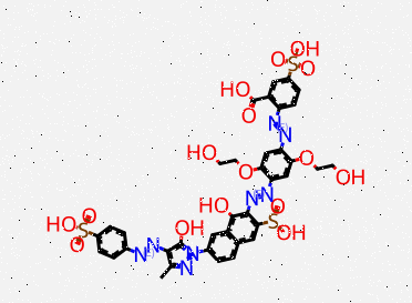 Cc1nn(-c2ccc3cc(S(=O)O)c(/N=N/c4cc(OCCO)c(/N=N/c5ccc(S(=O)(=O)O)cc5C(=O)O)cc4OCCO)c(O)c3c2)c(O)c1/N=N/c1ccc(S(=O)(=O)O)cc1